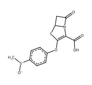 C[S+]([O-])c1ccc(OC2=C(C(=O)O)N3C(=O)CC3S2)cc1